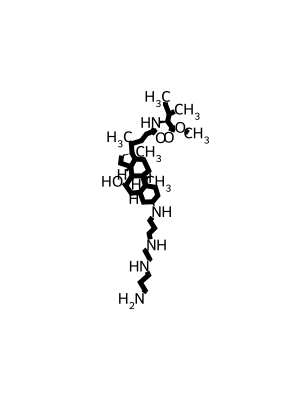 CCC(C)[C@H](NC(=O)CC[C@@H](C)[C@H]1CC[C@H]2[C@@H]3[C@H](O)C[C@@H]4C[C@@H](NCCCNCCNCCCN)CC[C@]4(C)[C@H]3CC[C@]12C)C(=O)OC